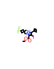 CCOC(=O)c1c(I)c(C23CC(C2)C3)nn1CC1(C)CC(F)(F)C1